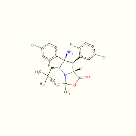 CC(C)(C)C[C@@H]1N2[C@@H](C(=O)OC2(C)C)[C@H](c2cc(Cl)ccc2F)[C@@]1(N)c1ccc(Cl)cc1F